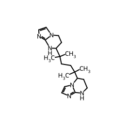 CC(C)(CCC(C)(C)C1CCNc2nccn21)C1CCn2ccnc2N1